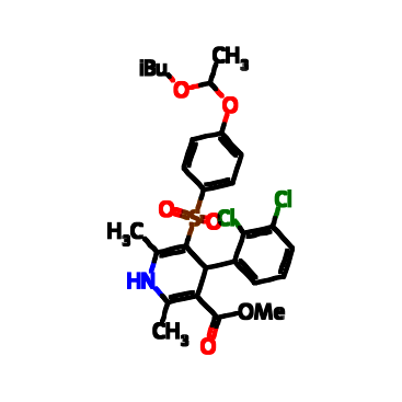 CCC(C)OC(C)Oc1ccc(S(=O)(=O)C2=C(C)NC(C)=C(C(=O)OC)C2c2cccc(Cl)c2Cl)cc1